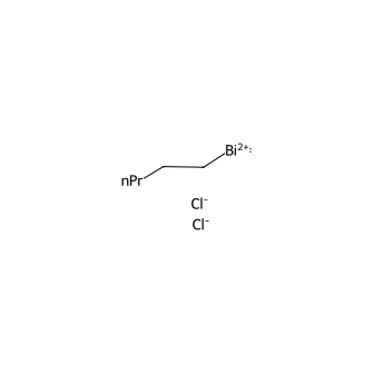 CCCC[CH2][Bi+2].[Cl-].[Cl-]